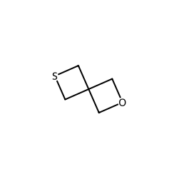 C1OCC12CSC2